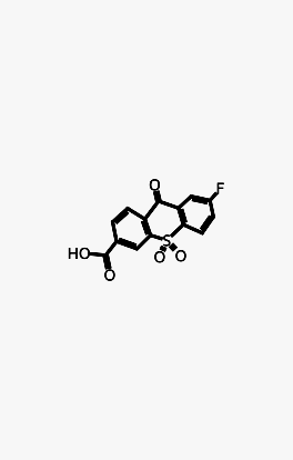 O=C(O)c1ccc2c(c1)S(=O)(=O)c1ccc(F)cc1C2=O